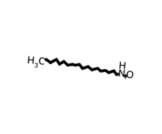 CCCCCCCCCCCCCCCCCCCN[C]=O